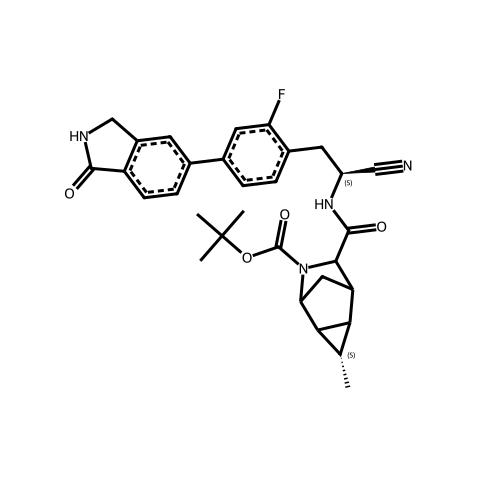 C[C@H]1C2C3CC(C21)N(C(=O)OC(C)(C)C)C3C(=O)N[C@H](C#N)Cc1ccc(-c2ccc3c(c2)CNC3=O)cc1F